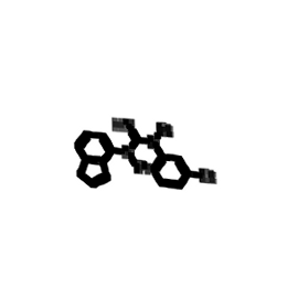 CCc1cccc(N(CC)C(=N)N(c2cccc3c2C=CC3)C(C)C)c1